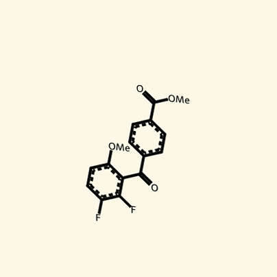 COC(=O)c1ccc(C(=O)c2c(OC)ccc(F)c2F)cc1